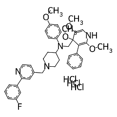 COC1=CNC(OC)=C(c2ccccc2)C1(CN(c1ccc(OC)cc1)C1CCN(Cc2ccnc(-c3cccc(F)c3)c2)CC1)OC.Cl.Cl.Cl